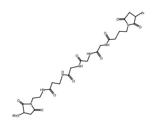 CSC1CC(=O)N(CCNC(=O)CCNC(=O)CNC(=O)CNC(=O)CNC(=O)CCCN2C(=O)CC(C(C)C)C2=O)C1=O